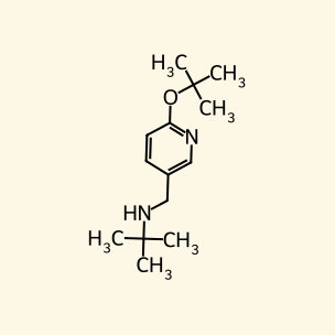 CC(C)(C)NCc1ccc(OC(C)(C)C)nc1